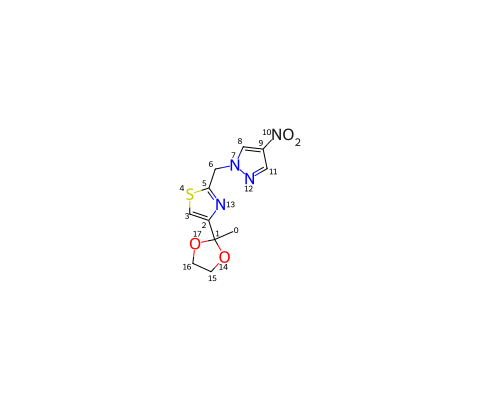 CC1(c2csc(Cn3cc([N+](=O)[O-])cn3)n2)OCCO1